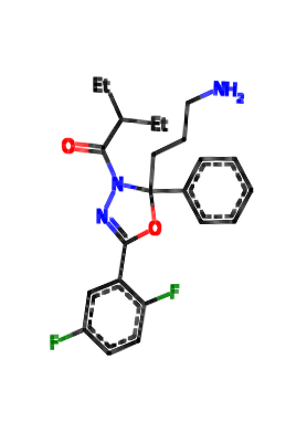 CCC(CC)C(=O)N1N=C(c2cc(F)ccc2F)OC1(CCCN)c1ccccc1